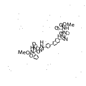 COC(=O)N[C@H](C(=O)N1CCC[C@H]1c1ncc(-c2ccc3cc(-c4ccc(-c5cnc([C@@H]6COCCN6C(=O)[C@H](NC(=O)OC)c6ccccc6)[nH]5)cc4)ccc3c2)[nH]1)C1COC1